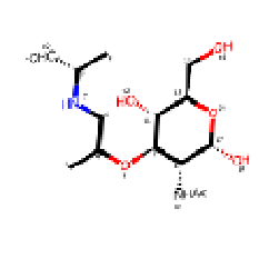 CC(=O)N[C@@H]1[C@@H](OC(C)CN[C@@H](C)[C]=O)[C@H](O)[C@@H](CO)O[C@@H]1O